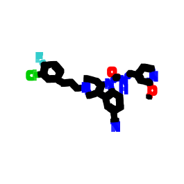 COc1cc(CNC(=O)n2c3c(c4cc(C#N)ccc42)CN(CC=Cc2ccc(F)c(Cl)c2)CC3)ccn1